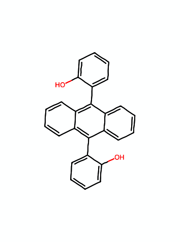 Oc1ccccc1-c1c2ccccc2c(-c2ccccc2O)c2ccccc12